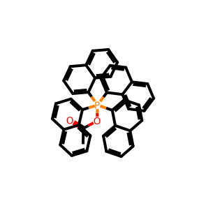 CC(=O)OP(c1cccc2ccccc12)(c1cccc2ccccc12)(c1cccc2ccccc12)c1cccc2ccccc12